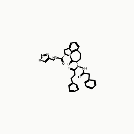 O=C(Cc1ccccc1)NN(C(=O)CCc1ccccc1)[C@H]1CCc2cccc3c2N(C1=O)[C@H](C(=O)NCc1c[nH]nn1)C3